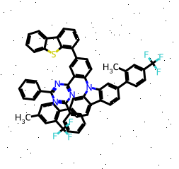 Cc1ccc(-c2ccc3c4ccc(-c5ccc(C(F)(F)F)cc5C)cc4n(-c4ccc(-c5cccc6c5sc5ccccc56)cc4-c4nc(-c5ccccc5)nc(-c5ccccc5)n4)c3c2)c(C(F)(F)F)c1